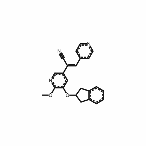 COc1ncc(C(C#N)=Cc2ccncc2)cc1OC1Cc2ccccc2C1